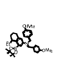 CCC1CCCc2cc(N(Cc3ccc(OC)cc3)Cc3ccc(OC)cc3)cc(B3OC(C)(C)C(C)(C)O3)c21